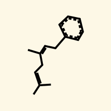 CC(C)=CCC(C)=CCc1ccccc1